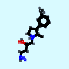 CC1C(c2cccc(C(F)(F)F)c2)CCN1CC(O)CCN